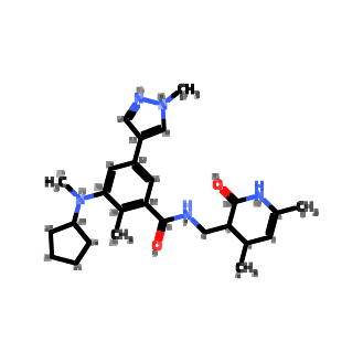 CC1=CC(C)C(CNC(=O)c2cc(-c3cnn(C)c3)cc(N(C)C3CCCC3)c2C)C(=O)N1